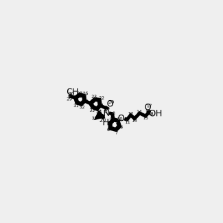 [2H]C1(N(Cc2ccccc2OCCCCCC(=O)O)C(=O)c2ccc(-c3ccc(CC)cc3)cc2)CC1